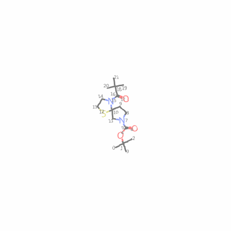 CC(C)(C)OC(=O)N1CCC2(C1)SCCN2C(=O)C(C)(C)C